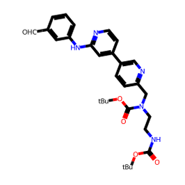 CC(C)(C)OC(=O)NCCN(Cc1ccc(-c2ccnc(Nc3cccc(C=O)c3)c2)cn1)C(=O)OC(C)(C)C